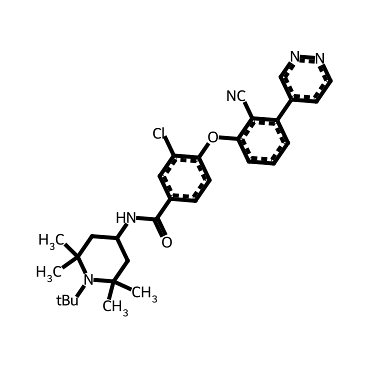 CC(C)(C)N1C(C)(C)CC(NC(=O)c2ccc(Oc3cccc(-c4ccnnc4)c3C#N)c(Cl)c2)CC1(C)C